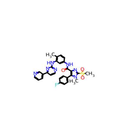 Cc1ccc(NC(=O)c2nc(S(C)(=O)=O)n(C)c2-c2ccc(F)cc2)cc1Nc1nccc(-c2cccnc2)n1